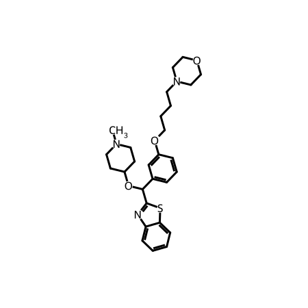 CN1CCC(OC(c2cccc(OCCCCN3CCOCC3)c2)c2nc3ccccc3s2)CC1